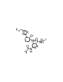 CCONC(=O)c1nnc(NC(=O)C2CC2)cc1Nc1cccc(-c2ncn(CCF)n2)c1OC